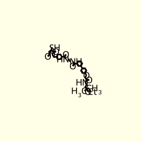 CCOC(C)(C)CCNC(=O)COc1ccc(-c2cccc(C(=O)NCCNC(=O)C3CCC(CN4C(=O)CC(S)C4=O)CC3)c2)cc1